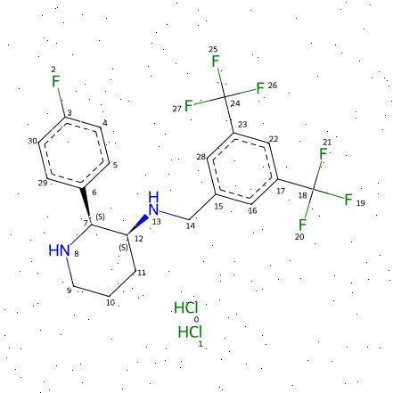 Cl.Cl.Fc1ccc([C@@H]2NCCC[C@@H]2NCc2cc(C(F)(F)F)cc(C(F)(F)F)c2)cc1